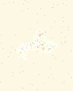 C[C@H]1CCN(CCCc2ccc(Oc3c(C(=O)c4ccc(F)cc4)sc4cc(O)ccc34)cc2)C1